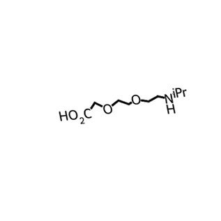 CC(C)NCCOCCOCC(=O)O